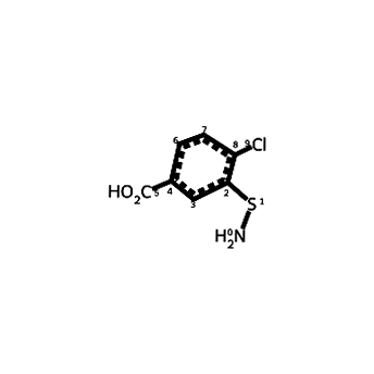 NSc1cc(C(=O)O)ccc1Cl